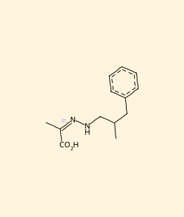 C/C(=N/NCC(C)Cc1ccccc1)C(=O)O